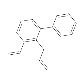 C=CCc1c(C=C)cccc1-c1ccccc1